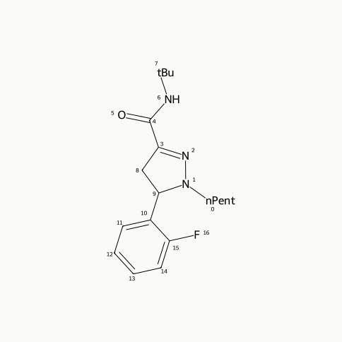 CCCCCN1N=C(C(=O)NC(C)(C)C)CC1c1ccccc1F